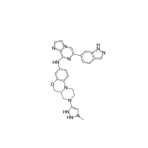 CN1C=C(N2CCN3c4ccc(Nc5nc(-c6ccc7cn[nH]c7c6)cn6ccnc56)cc4OCC3C2)NN1